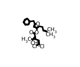 CC(C)=CCc1oc(Cc2ccccc2)cc1OC(=O)C1C(C=C(Cl)Cl)C1(C)C